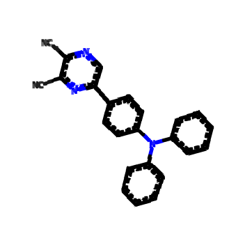 N#Cc1ncc(-c2ccc(N(c3ccccc3)c3ccccc3)cc2)nc1C#N